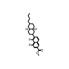 CCCCC1CC[C@@H]2CC(c3ccc4cc(C(=O)OC)cc(F)c4c3F)CC[C@H]2C1